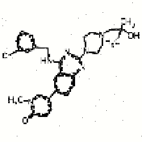 Cn1cc(-c2ccc3nc(N4CCN(CC(C)(C)O)CC4)nc(NCc4cccc(Cl)c4)c3c2)ccc1=O